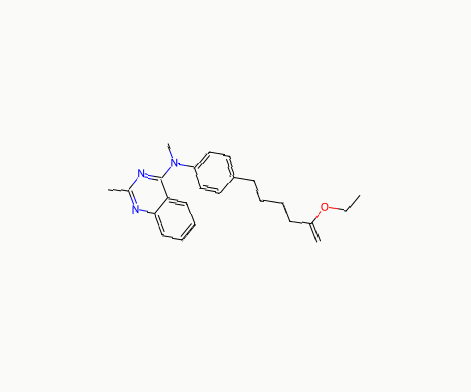 C=C(CCCCc1ccc(N(C)c2nc(C)nc3ccccc23)cc1)OCC